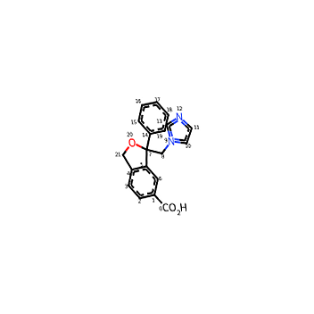 O=C(O)c1ccc2c(c1)C(Cn1ccnc1)(c1ccccc1)OC2